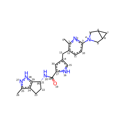 Cc1nc(N2CC3CC3C2)ccc1Cc1c[nH]c(C(=O)N[C@@H]2CCc3c(C)n[nH]c32)c1